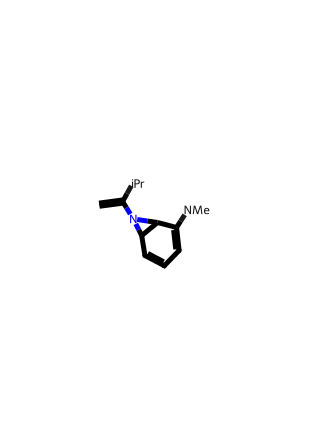 C=C(C(C)C)N1C2C=CC=C(NC)C21